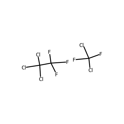 FC(F)(Cl)Cl.FC(F)(F)C(Cl)(Cl)Cl